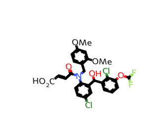 COc1ccc(CN(C(=O)/C=C/C(=O)O)c2ccc(Cl)cc2C(O)c2cccc(OC(F)F)c2Cl)c(OC)c1